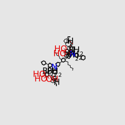 Bc1c(B)c(O)c(O)c(C23CC4=C[C@H](C5=CCCC2=C5c2ccc(N(c5ccc(-c6ccccc6)cc5)c5ccc(-c6cc(CCCCCC)c(-c7ccc(N(c8ccc(-c9ccccc9)cc8)c8ccc9c(c8)C8(c%10c(B)c(B)c(O)c(O)c%10O)CC%10=C[C@@H](C%11=CCCC8=C%119)C(C=C)CC%10)cc7)cc6CCCCCC)cc5)cc23)C(C=C)CC4)c1B